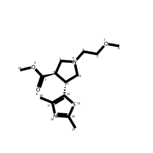 COCCN1C[C@H](C(=O)OC)[C@@H](c2sc(C)nc2C)C1